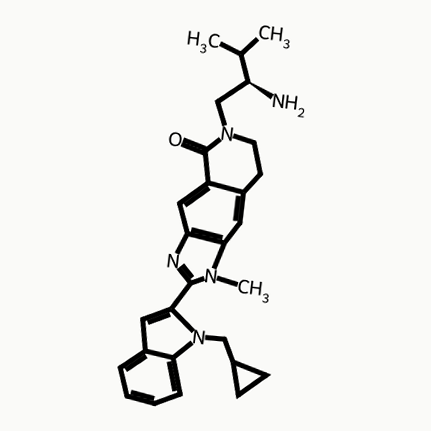 CC(C)[C@@H](N)CN1CCc2cc3c(cc2C1=O)nc(-c1cc2ccccc2n1CC1CC1)n3C